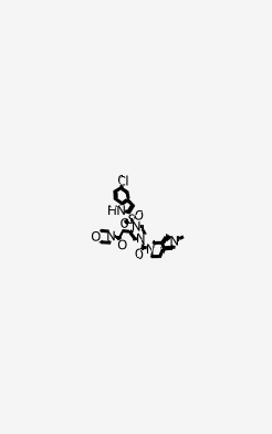 Cn1cc2c(c1)CN(C(=O)N1CCN(S(=O)(=O)c3cc4cc(Cl)ccc4[nH]3)C(CC(=O)N3CCOCC3)C1)CC2